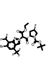 CCOC(=O)C(C(=O)[C@@H]1C[C@@H](F)CN1C(=O)OC(C)(C)C)n1cc2c(C(F)(F)F)cc(Br)c(C(F)F)c2n1